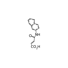 O=C(O)/C=C/C(=O)Nc1ccc2ccccc2c1